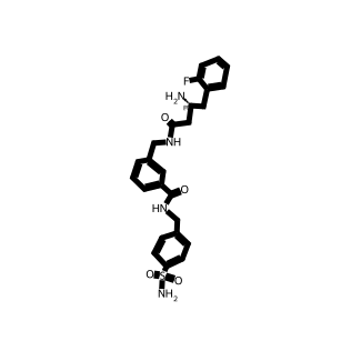 N[C@@H](CC(=O)NCc1cccc(C(=O)NCc2ccc(S(N)(=O)=O)cc2)c1)Cc1ccccc1F